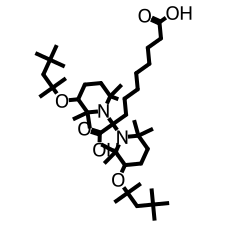 CC(C)(C)CC(C)(C)OC1CCC(C)(C)N(C(CCCCCCCC(=O)O)(C(=O)O)N2C(C)(C)CCC(OC(C)(C)CC(C)(C)C)C2(C)C)C1(C)C